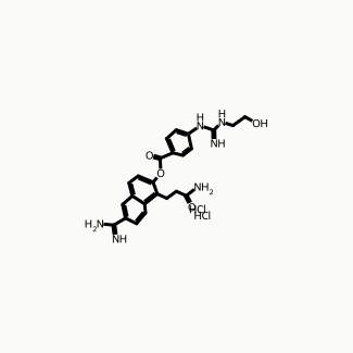 Cl.Cl.N=C(NCCO)Nc1ccc(C(=O)Oc2ccc3cc(C(=N)N)ccc3c2CCC(N)=O)cc1